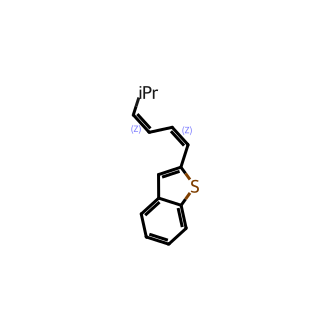 CC(C)/C=C\C=C/c1cc2ccccc2s1